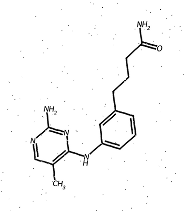 Cc1cnc(N)nc1Nc1cccc(CCCC(N)=O)c1